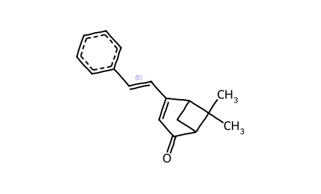 CC1(C)C2CC1C(/C=C/c1ccccc1)=CC2=O